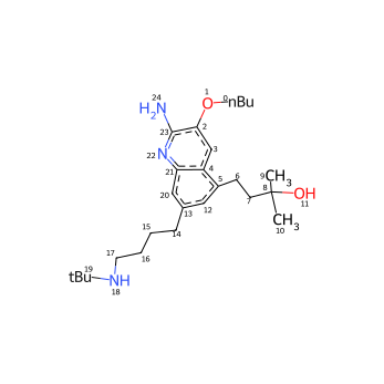 CCCCOc1cc2c(CCC(C)(C)O)cc(CCCCNC(C)(C)C)cc2nc1N